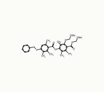 COCOC(=O)c1c(C)c(C)c(OC(=O)c2c(C)cc(OCc3ccccc3)c(C)c2C)c(C)c1OCOC